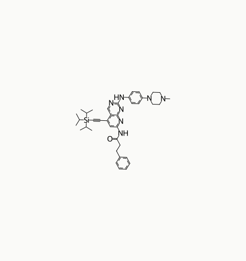 CC(C)[Si](C#Cc1cc(NC(=O)CCc2ccccc2)nc2nc(Nc3ccc(N4CCN(C)CC4)cc3)ncc12)(C(C)C)C(C)C